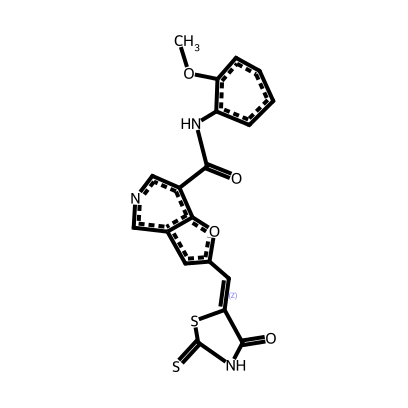 COc1ccccc1NC(=O)c1cncc2cc(/C=C3\SC(=S)NC3=O)oc12